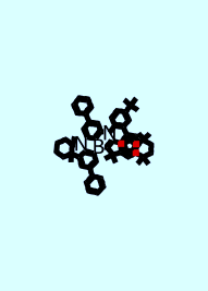 CC(C)(C)c1ccc(N2C3=C(B4c5cc(-c6ccccc6)cc6c5N(c5cc(-c7ccccc7)cc2c54)C2(C)CCCCC62C)C(C)(C)c2cc4c(cc23)C(C)(C)CCC4(C)C)c(-c2ccccc2)c1